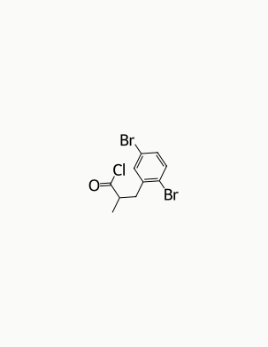 CC(Cc1cc(Br)ccc1Br)C(=O)Cl